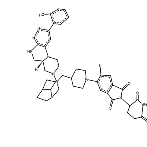 O=C1CCC(N2C(=O)c3cc(F)c(N4CCC(CN5CC6CCC(C5)C6CN5CCN6c7cc(-c8ccccc8O)nnc7NC[C@H]6C5)CC4)cc3C2=O)C(=O)N1